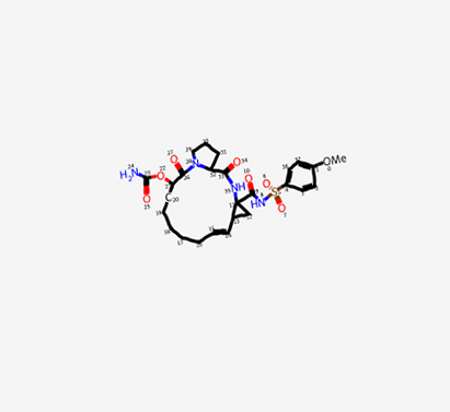 COc1ccc(S(=O)(=O)NC(=O)C23CC2/C=C/CCCCCC(OC(N)=O)C(=O)N2CCCC2C(=O)N3)cc1